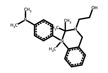 CN(C)c1ccc([Si]2(C)c3ccccc3CN(CCO)C2(C)C)cc1